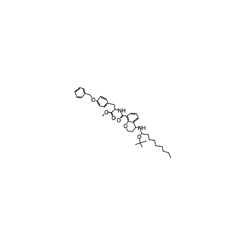 CCCCCCCCC(NC1CCOc2c(C(=O)NC(Cc3ccc(OCc4ccccc4)cc3)C(=O)OC)cccc21)OC(C)(C)C